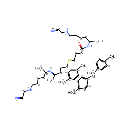 CC(CCCSCCCC(=O)NC(CCCCNCC=N)C(=O)O)=NC(CCCCNCC=N)C(=O)O.Cc1ccc(S(=O)(=O)O)cc1.Cc1ccc(S(=O)(=O)O)cc1.Cc1ccc(S(=O)(=O)O)cc1